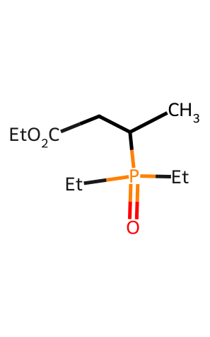 CCOC(=O)CC(C)P(=O)(CC)CC